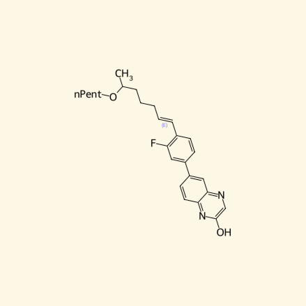 CCCCCOC(C)CCC/C=C/c1ccc(-c2ccc3nc(O)cnc3c2)cc1F